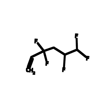 C=CC(F)(F)CC(F)C(F)F